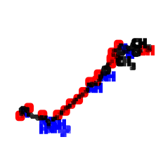 CCc1c2c(nc3ccc(O)cc13)-c1cc3c(c(=O)n1C2)COC(=O)C3(CC)OC(=O)OCc1ccc(NC(=O)COCC(=O)NCCOCCOCCOCCOCCOCCN(N)/C(=C\N)CNC(=O)CCCCCN2C(=O)C=CC2=O)cc1